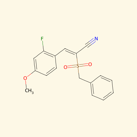 COc1ccc(C=C(C#N)S(=O)(=O)Cc2ccccc2)c(F)c1